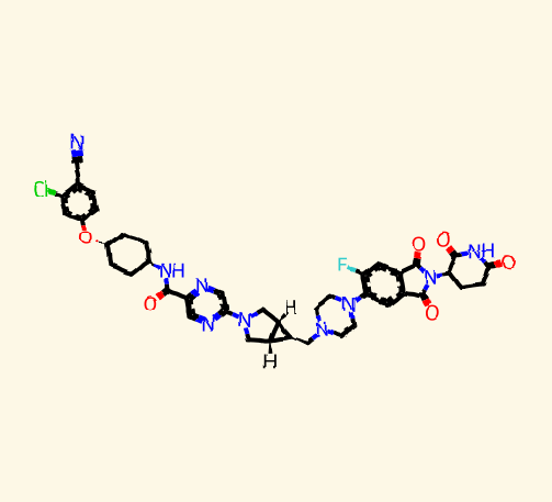 N#Cc1ccc(O[C@H]2CC[C@H](NC(=O)c3cnc(N4C[C@@H]5[C@@H](CN6CCN(c7cc8c(cc7F)C(=O)N(C7CCC(=O)NC7=O)C8=O)CC6)[C@@H]5C4)cn3)CC2)cc1Cl